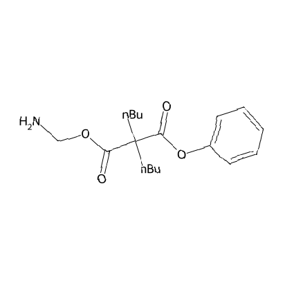 CCCCC(CCCC)(C(=O)OCN)C(=O)Oc1ccccc1